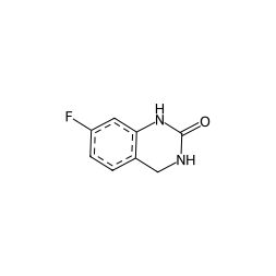 O=C1NCc2ccc(F)cc2N1